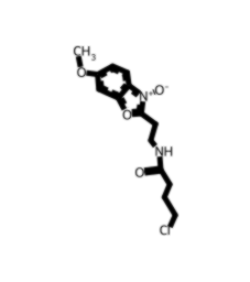 COc1ccc2c(c1)oc(CCNC(=O)CCCCl)[n+]2[O-]